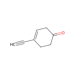 C#CC1=CCC(=O)CC1